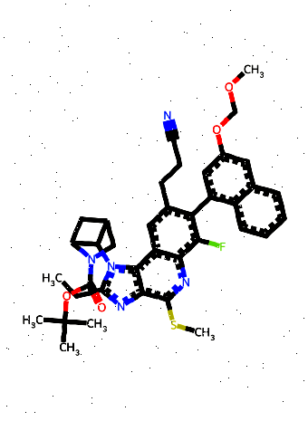 CCc1nc2c(SC)nc3c(F)c(-c4cc(OCOC)cc5ccccc45)c(CCC#N)cc3c2n1C1C2CC1N(C(=O)OC(C)(C)C)C2